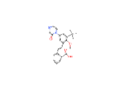 COc1c(/C=C/c2ccccc2C(=O)O)cc(-n2ccncc2=O)cc1C(C)(C)C